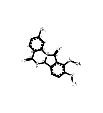 COc1ccc2c(c1OC)C(=O)N1c3cc(C)ccc3C(=O)NC21